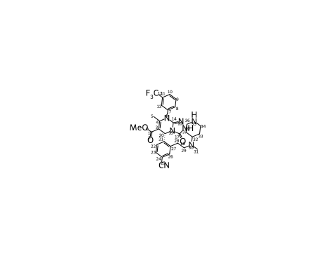 COC(=O)C1=C(C)N(c2cccc(C(F)(F)F)c2)c2n[nH]c(=O)n2[C@@H]1c1ccc(C#N)cc1CCN(C)C1CCNCC1